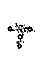 C=CCN1CC(=O)N2C(Cc3ccc(O)cc3)C(=O)N(Cc3cccc(C(=O)NC4CCCC4)c3)CC2N1C(=O)NCc1ccccc1